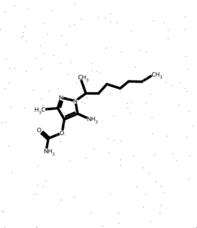 CCCCCCC(C)n1nc(C)c(OC(N)=O)c1N